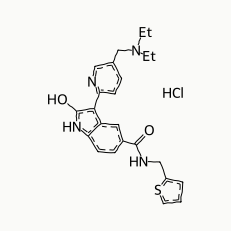 CCN(CC)Cc1ccc(-c2c(O)[nH]c3ccc(C(=O)NCc4cccs4)cc23)nc1.Cl